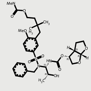 CNC(=O)OCCC(C)(C)Cc1cc(S(=O)(=O)N(Cc2ccccc2)[C@H](NC(=O)O[C@H]2CO[C@H]3OCC[C@H]32)[C@@H](C)O)ccc1OC